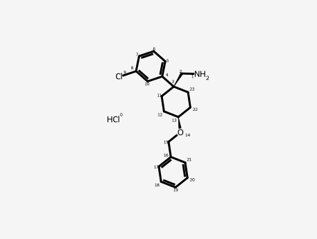 Cl.NC[C@]1(c2cccc(Cl)c2)CC[C@H](OCc2ccccc2)CC1